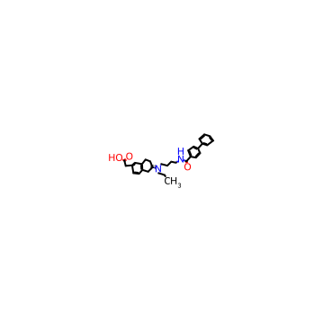 CCCN(CCCCNC(=O)c1ccc(-c2ccccc2)cc1)[C@@H]1CCc2cc(CC(=O)O)ccc2C1